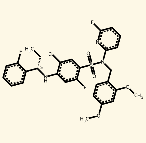 CC[C@H](Nc1cc(F)c(S(=O)(=O)N(Cc2ccc(OC)cc2OC)c2cccc(F)n2)cc1Cl)c1ccccc1F